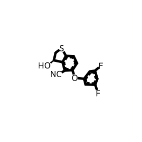 N#Cc1c(Oc2cc(F)cc(F)c2)ccc2c1[C@@H](O)CS2